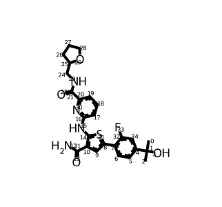 CC(C)(O)c1ccc(-c2cc(C(N)=O)c(Nc3cccc(C(=O)NCC4CCCO4)n3)s2)c(F)c1